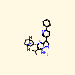 CC(C)c1c([C@H]2C[C@H]3CC[C@@H](C2)N3)nc2c(-c3ccc(-c4ccccc4)nc3)cnn2c1N